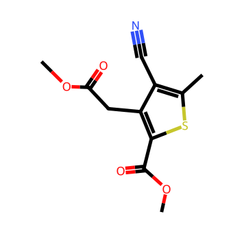 COC(=O)Cc1c(C(=O)OC)sc(C)c1C#N